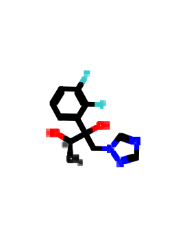 C[C@@H](O)C(O)(Cn1cncn1)c1cccc(F)c1F